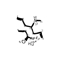 C=CC(N)=O.C=CCC(CC=C)NC.Cl